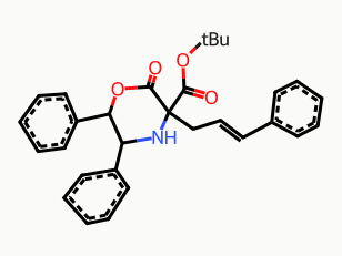 CC(C)(C)OC(=O)C1(CC=Cc2ccccc2)NC(c2ccccc2)C(c2ccccc2)OC1=O